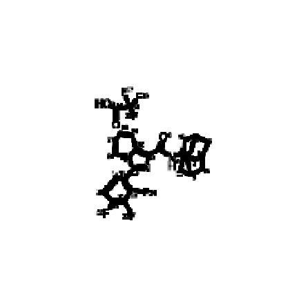 O=C(NC12CC3CC(CC(C3)C1)C2)c1nc(-c2ccc(F)c(F)c2F)n2ccccc12.O=C(O)C(F)(F)F